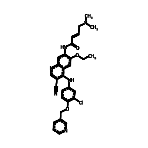 CCOc1cc2c(Nc3ccc(OCc4cccnc4)c(Cl)c3)c(C#N)cnc2cc1NC(=O)/C=C/CN(C)C